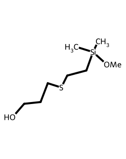 CO[Si](C)(C)CCSCCCO